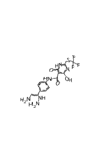 N/C=C(\NN)c1ccc(NC(=O)c2c(O)nc(SC(F)(F)F)[nH]c2=O)cc1